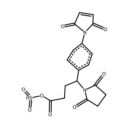 O=C(CCC(c1ccc(N2C(=O)C=CC2=O)cc1)N1C(=O)CCC1=O)O[SH](=O)=O